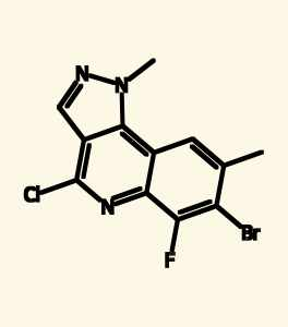 Cc1cc2c(nc(Cl)c3cnn(C)c32)c(F)c1Br